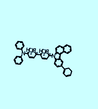 C=C(/C=C\C(=C)N(c1ccccc1)c1ccccc1)C(=C)/C=C\C(=C)n1c2ccc(C3=CC=CCC3)cc2c2c3ccccc3ccc21